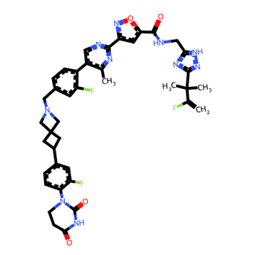 C=C(F)C(C)(C)c1n[nH]c(CNC(=O)c2cc(-c3ncc(-c4ccc(CN5CC6(CC(c7ccc(N8CCC(=O)NC8=O)c(F)c7)C6)C5)cc4F)c(C)n3)no2)n1